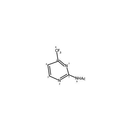 CC(=O)Nc1nccc(C(F)(F)F)n1